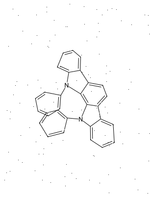 c1ccc(-n2c3ccccc3c3ccc4c5ccccc5n(-c5ccccc5)c4c32)cc1